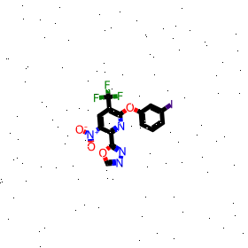 O=[N+]([O-])c1cc(C(F)(F)F)c(Oc2cccc(I)c2)nc1-c1nnco1